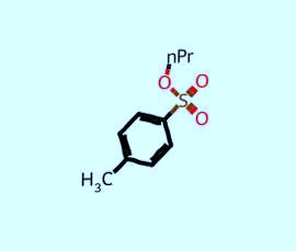 [CH2]CCOS(=O)(=O)c1ccc(C)cc1